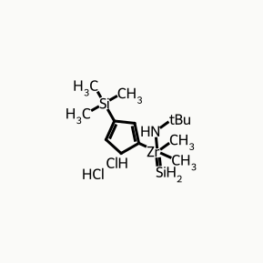 CC(C)(C)[NH][Zr]([CH3])([CH3])(=[SiH2])[C]1=CC([Si](C)(C)C)=CC1.Cl.Cl